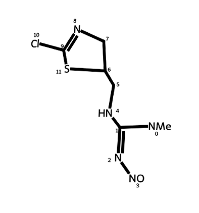 CN/C(=N\N=O)NCC1CN=C(Cl)S1